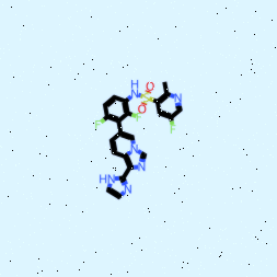 Cc1ncc(F)cc1S(=O)(=O)Nc1ccc(F)c(-c2ccc3c(-c4ncc[nH]4)ncn3c2)c1F